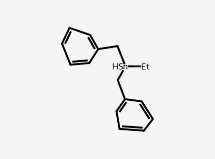 C[CH2][SnH]([CH2]c1ccccc1)[CH2]c1ccccc1